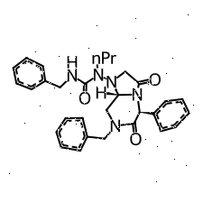 CCCN(C(=O)NCc1ccccc1)N1CC(=O)N2[C@@H](c3ccccc3)C(=O)N(Cc3ccccc3)C[C@@H]21